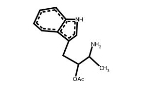 CC(=O)OC(Cc1c[nH]c2ccccc12)C(C)N